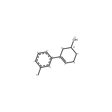 Cc1cccc(C2=CCCC(O)C2)c1